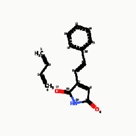 C=CC=C.O=C1C=C(C=Cc2ccccc2)C(=O)N1